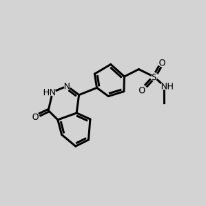 CNS(=O)(=O)Cc1ccc(-c2n[nH]c(=O)c3ccccc23)cc1